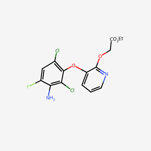 CCOC(=O)COc1ncccc1Oc1c(Cl)cc(F)c(N)c1Cl